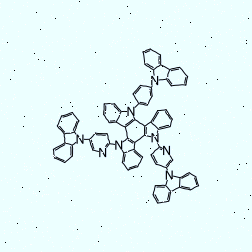 c1ccc2c(c1)c1ccccc1n2-c1ccc(-n2c3ccccc3c3c2c2c4ccccc4n(-c4ccc(-n5c6ccccc6c6ccccc65)cn4)c2c2c4ccccc4n(-c4ccc(-n5c6ccccc6c6ccccc65)cn4)c32)cc1